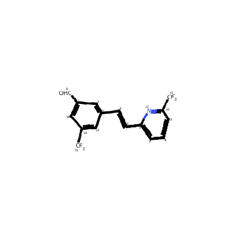 O=Cc1cc(/C=C/c2cccc(C(F)(F)F)n2)cc(C(F)(F)F)c1